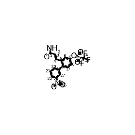 NC(=O)C=Cc1cc(OS(=O)(=O)C(F)(F)F)ccc1-c1cccc([N+](=O)[O-])c1